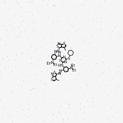 CCN(CC)c1ccc(/N=N/c2snc3scc(C)c23)c(Nc2nc(Nc3cc(N(CC)CC)ccc3/N=N/c3snc4scc(C)c34)nc(SC3CCCCC3)n2)c1